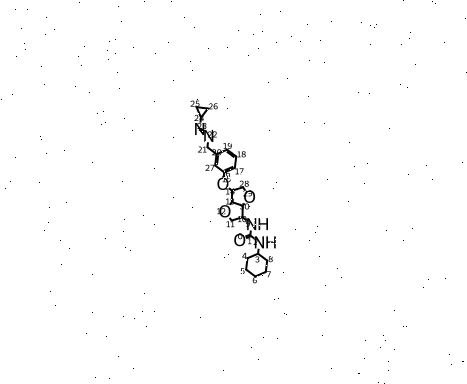 O=C(NC1CCCCC1)NC1COC2C(Oc3cccc(CN=NC4CC4)c3)COC12